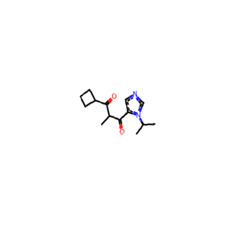 CC(C(=O)c1cncn1C(C)C)C(=O)C1CCC1